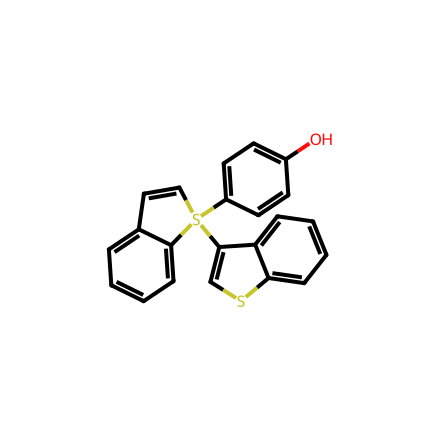 Oc1ccc(S2(c3csc4ccccc34)C=Cc3ccccc32)cc1